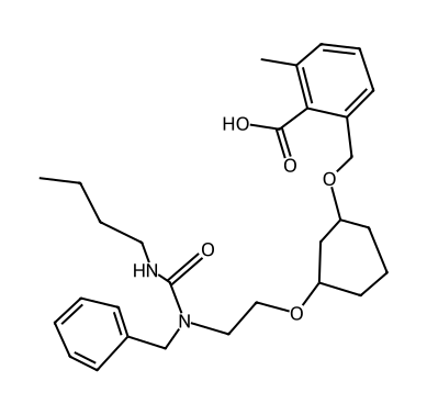 CCCCNC(=O)N(CCOC1CCCC(OCc2cccc(C)c2C(=O)O)C1)Cc1ccccc1